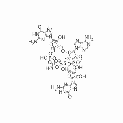 COC[C@H]1[C@@H](O)[C@H](n2c[n+](C)c3c(=O)[nH]c(N)nc32)O[C@@H]1COP(=O)(O)OP(=O)(O)OP(=O)(O)SC[C@H]1O[C@@H](n2cnc3c(N)ncnc32)[C@H](OC)[C@@H]1P(=O)([O-])OC[C@H]1O[C@@H](n2cnc3c(=O)[nH]c(N)nc32)[C@H](O)[C@@H]1O